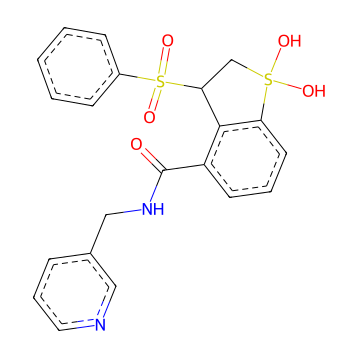 O=C(NCc1cccnc1)c1cccc2c1C(S(=O)(=O)c1ccccc1)CS2(O)O